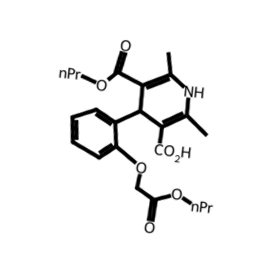 CCCOC(=O)COc1ccccc1C1C(C(=O)O)=C(C)NC(C)=C1C(=O)OCCC